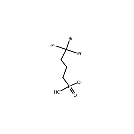 CC(C)C(Br)(CCCP(=O)(O)O)C(C)C